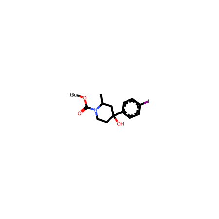 CC1CC(O)(c2ccc(I)cc2)CCN1C(=O)OC(C)(C)C